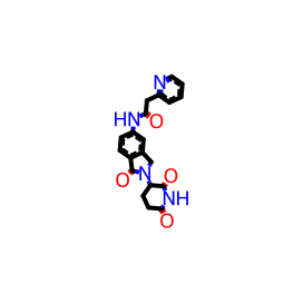 O=C1CCC(N2Cc3cc(NC(=O)Cc4ccccn4)ccc3C2=O)C(=O)N1